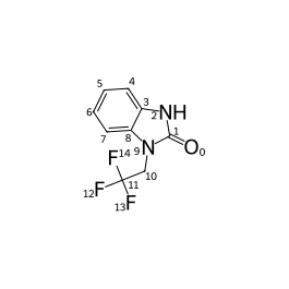 O=c1[nH]c2ccccc2n1CC(F)(F)F